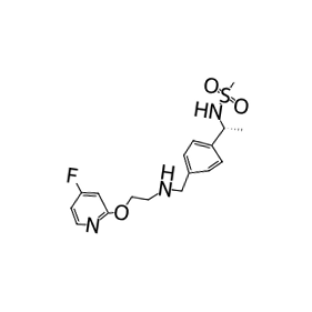 C[C@@H](NS(C)(=O)=O)c1ccc(CNCCOc2cc(F)ccn2)cc1